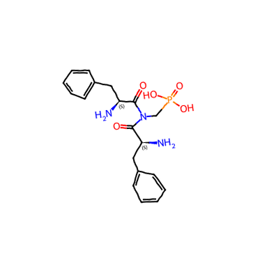 N[C@@H](Cc1ccccc1)C(=O)N(CP(=O)(O)O)C(=O)[C@@H](N)Cc1ccccc1